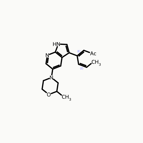 C/C=C\C(=C/C(C)=O)c1c[nH]c2ncc(N3CCOC(C)C3)cc12